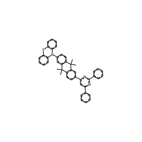 CC1(C)c2ccc(N3c4ccccc4Sc4ccccc43)cc2C(C)(C)c2ccc(-c3cc(-c4ccccc4)nc(-c4ccccc4)n3)cc21